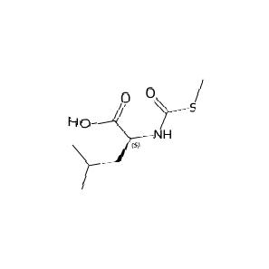 CSC(=O)N[C@@H](CC(C)C)C(=O)O